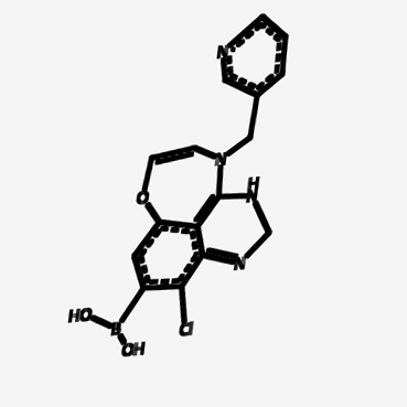 OB(O)c1cc2c3c(c1Cl)=NCNC=3N(Cc1cccnc1)C=CO2